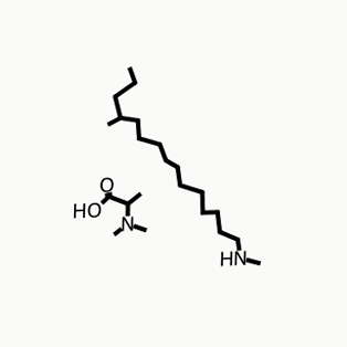 CC(C(=O)O)N(C)C.CCCC(C)CCCCCCCCCCCNC